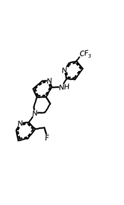 FCc1cccnc1N1CCc2c(ccnc2Nc2ccc(C(F)(F)F)cn2)C1